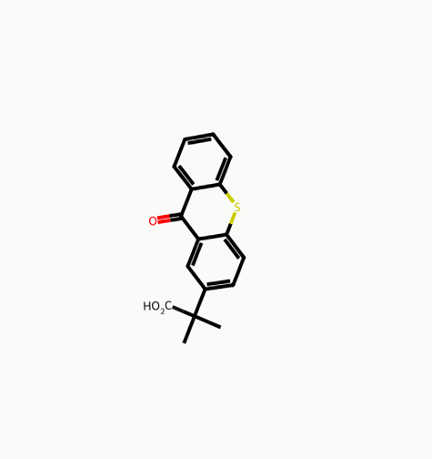 CC(C)(C(=O)O)c1ccc2sc3ccccc3c(=O)c2c1